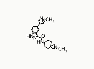 CN1CC2(CCC(NC(=O)c3n[nH]c4ccc(-c5cnn(C)c5)cc34)CC2)C1